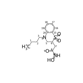 CCCCN1CC(CC(=O)NO)S(=O)(=O)c2ccccc21